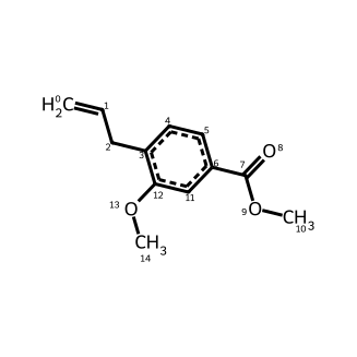 C=CCc1ccc(C(=O)OC)cc1OC